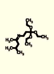 CCOC(CCN=C(C)CC(C)C)(OCC)OCC